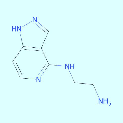 NCCNc1nccc2[nH]ncc12